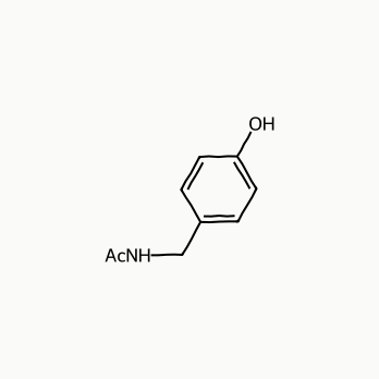 CC(=O)NCc1ccc(O)cc1